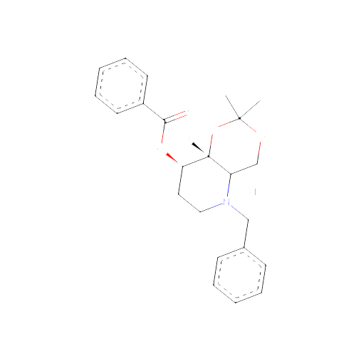 C[C@H]1CN(Cc2ccccc2)[C@@H]2COC(C)(C)O[C@H]2[C@@H]1OC(=O)c1ccccc1